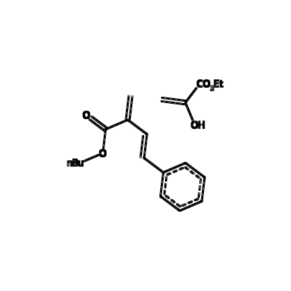 C=C(C=Cc1ccccc1)C(=O)OCCCC.C=C(O)C(=O)OCC